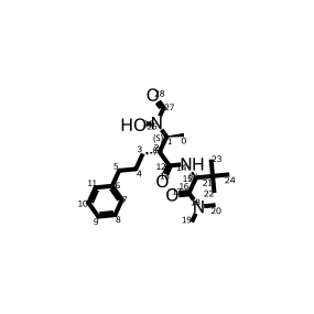 C[C@@H]([C@@H](CCCc1ccccc1)C(=O)N[C@@H](C(=O)N(C)C)C(C)(C)C)N(O)C=O